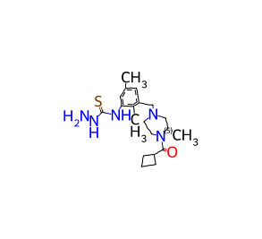 Cc1cc(CN2CCN(C(=O)C3CCC3)[C@@H](C)C2)c(C)c(NC(=S)NN)c1